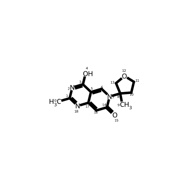 Cc1nc(O)c2cn(C3(C)CCOC3)c(=O)cc2n1